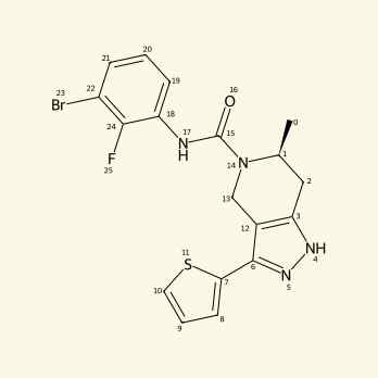 C[C@H]1Cc2[nH]nc(-c3cccs3)c2CN1C(=O)Nc1cccc(Br)c1F